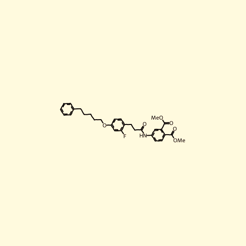 COC(=O)c1ccc(NC(=O)CCc2ccc(OCCCCCc3ccccc3)cc2F)cc1C(=O)OC